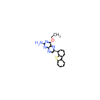 CCOc1nc(N)nc2ncc(-c3cccc4c3sc3ccccc34)nc12